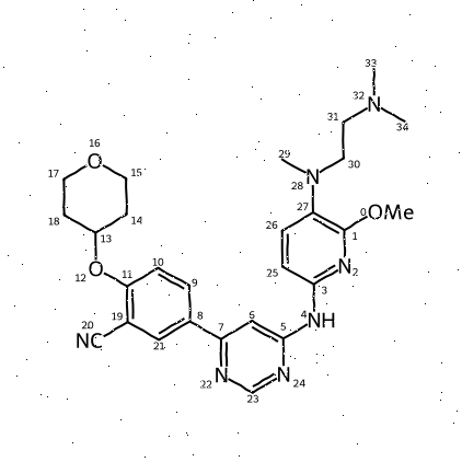 COc1nc(Nc2cc(-c3ccc(OC4CCOCC4)c(C#N)c3)ncn2)ccc1N(C)CCN(C)C